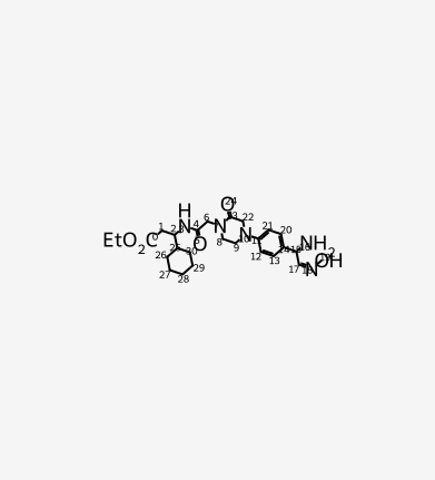 CCOC(=O)CC(NC(=O)CN1CCN(c2ccc(C(N)/C=N\O)cc2)CC1=O)C1CCCCC1